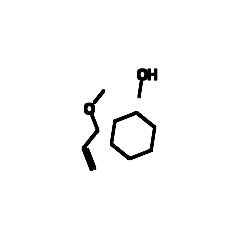 C1CCCCC1.C=CCOC.CO